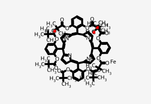 CC(C)(C)C(=O)Oc1cccc(OC(=O)C(C)(C)C)c1C1=C2C=CC(=N2)C(c2c(OC(=O)C(C)(C)C)cccc2OC(=O)C(C)(C)C)=c2ccc([nH]2)=C(c2c(OC(=O)C(C)(C)C)cccc2OC(=O)C(C)(C)C)C2C=CC(=C(c3c(OC(=O)C(C)(C)C)cccc3OC(=O)C(C)(C)C)c3ccc1[nH]3)[N-]2.[Fe]